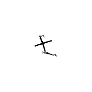 BBC(B)(C)C